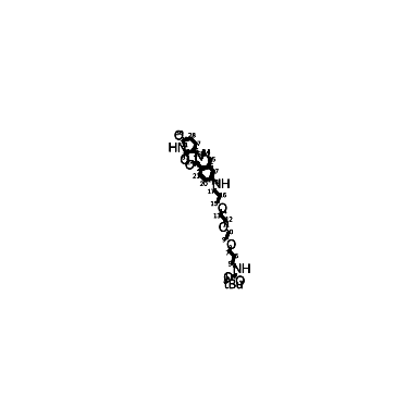 CC(C)(C)OC(=O)NCCCOCCOCCOCCCNc1ccc2c(=O)n(C3CCC(=O)NC3=O)ncc2c1